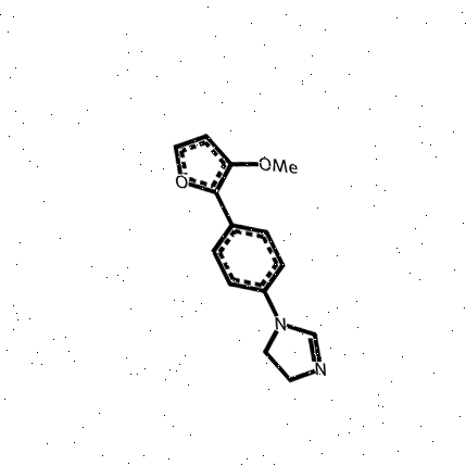 COc1ccoc1-c1ccc(N2C=NCC2)cc1